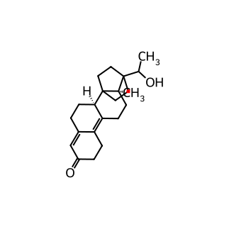 CC(O)C12CCC3(CC1)[C@@H]1CCC4=CC(=O)CCC4=C1CC[C@]23C